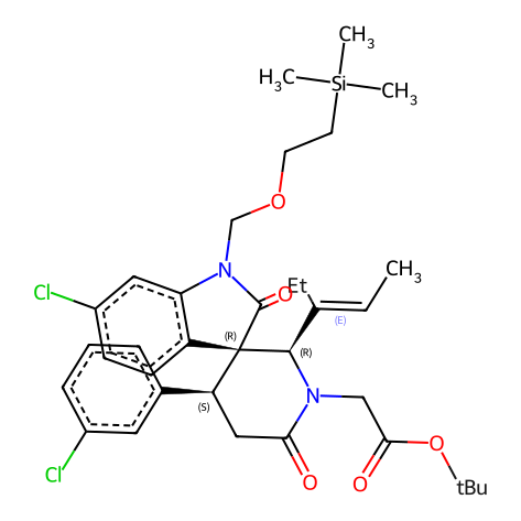 C/C=C(\CC)[C@H]1N(CC(=O)OC(C)(C)C)C(=O)C[C@@H](c2cccc(Cl)c2)[C@]12C(=O)N(COCC[Si](C)(C)C)c1cc(Cl)ccc12